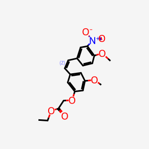 CCOC(=O)COc1cc(/C=C\c2ccc(OC)c([N+](=O)[O-])c2)cc(OC)c1